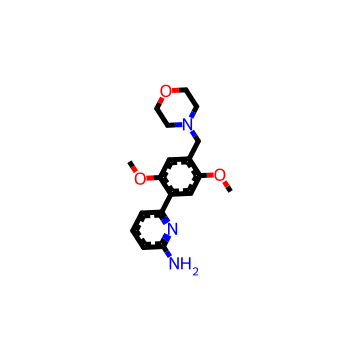 COc1cc(-c2cccc(N)n2)c(OC)cc1CN1CCOCC1